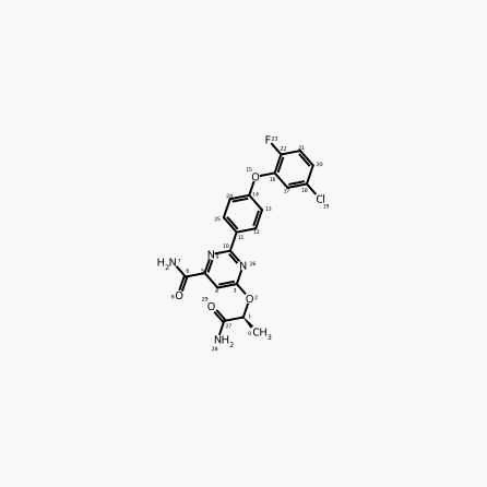 C[C@H](Oc1cc(C(N)=O)nc(-c2ccc(Oc3cc(Cl)ccc3F)cc2)n1)C(N)=O